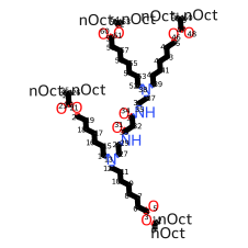 CCCCCCCCC(CCCCCCCC)OC(=O)CCCCCCCN(CCCCCCCOC(=O)C(CCCCCCCC)CCCCCCCC)CCNC(=O)CC(=O)NCCN(CCCCCCCOC(=O)C(CCCCCCCC)CCCCCCCC)CCCCCCCC(=O)OC(CCCCCCCC)CCCCCCCC